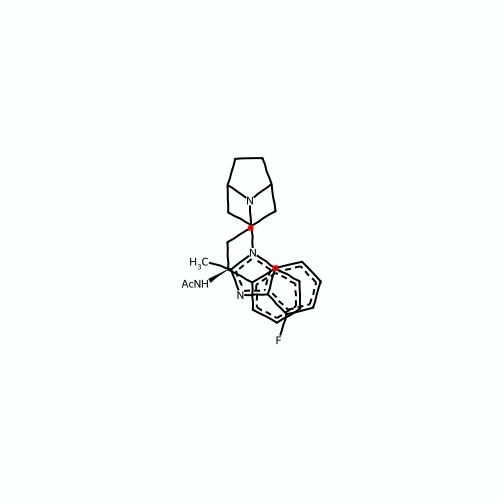 CC(=O)N[C@@H](CCN1C2CCC1CC(n1c(C)nc3c(F)cccc31)C2)c1ccccc1